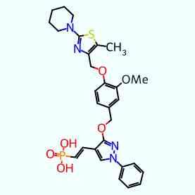 COc1cc(COc2nn(-c3ccccc3)cc2C=CP(=O)(O)O)ccc1OCc1nc(N2CCCCC2)sc1C